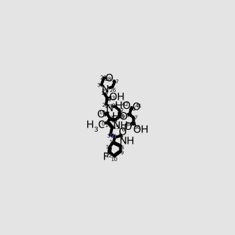 Cc1c(/C=C2\C(=O)Nc3ccc(F)cc32)[nH]c2c1C(=O)N(C[C@H](O)CN1CCOCC1)CCC2.O=C(O)CC(O)C(=O)O